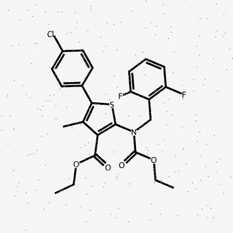 CCOC(=O)c1c(N(Cc2c(F)cccc2F)C(=O)OCC)sc(-c2ccc(Cl)cc2)c1C